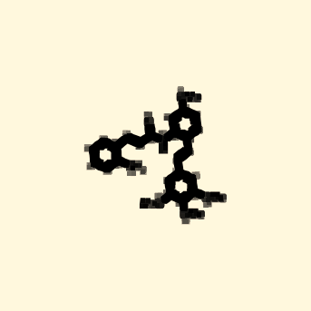 COc1ccc(C=Cc2cc(OC)c(OC)c(OC)c2)c(NC(=O)/C=C/c2ccccc2N)c1